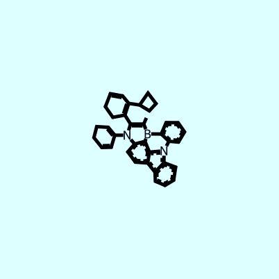 CC1=C(C2=C(C3CCC3)C=CCC2)N(C2=CCCC=C2)c2ccc3c4ccccc4n4c3c2B1c1ccccc1-4